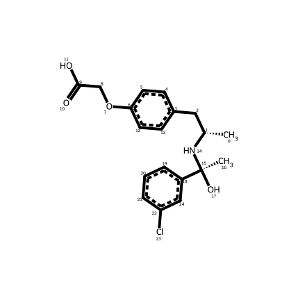 C[C@@H](Cc1ccc(OCC(=O)O)cc1)N[C@@](C)(O)c1cccc(Cl)c1